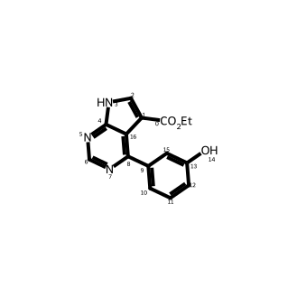 CCOC(=O)c1c[nH]c2ncnc(-c3cccc(O)c3)c12